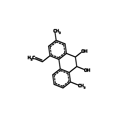 C=Cc1cc(C)cc2c1-c1cccc(C)c1C(O)C2O